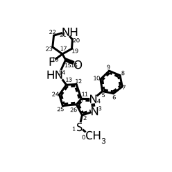 CSc1nn(-c2ccccc2)c2cc(NC(=O)C3(F)CCNCC3)ccc12